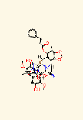 C=CCN1[C@@H]2Cc3cc(C)c(OC)c(O)c3[C@H]1C1[C@@H]3SC[C@]4(NCCc5cc(O)c(OC)cc54)C(=O)OCC[C@@H](c4c5c(c(C)c(OC(=O)/C=C/c6ccccc6)c43)OCO5)N1[C@H]2C#N